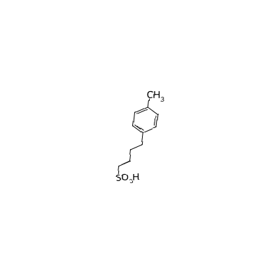 Cc1ccc(CCCCS(=O)(=O)O)cc1